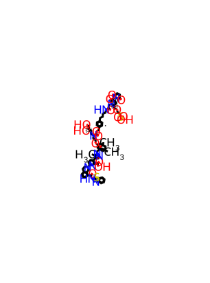 Cc1c(-c2ccc(N3CCc4cccc(C(=O)Nc5nc6ccccc6s5)c4C3)nc2C(=O)O)cnn1CC12CC3(C)CC(C)(C1)CC(OCCN(CC[C@H](O)CO)C(=O)OCc1[c]cc(CCCCNC(=O)CN4C(=O)[C@@H](N5C(=O)C=CC5=O)C[C@H]4COCCS(=O)(=O)O)cc1)(C3)C2